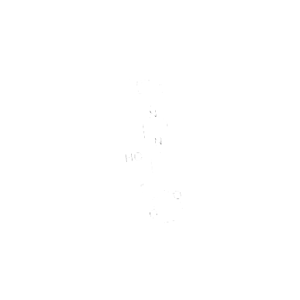 Cc1cccc(N2CCN(CC(O)c3ccc4c(c3)OC=CCO4)CC2)c1